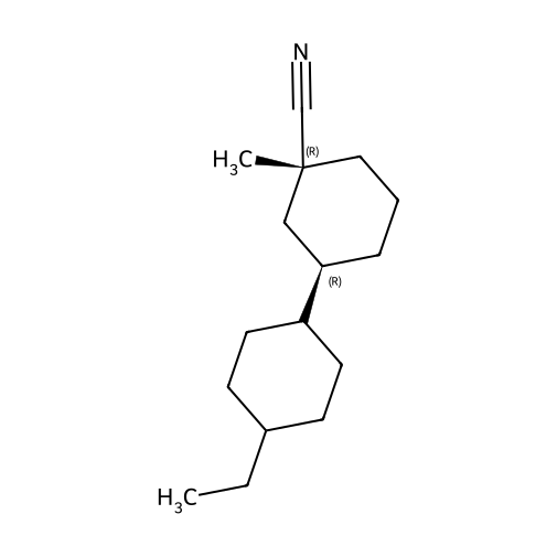 CCC1CCC([C@@H]2CCC[C@@](C)(C#N)C2)CC1